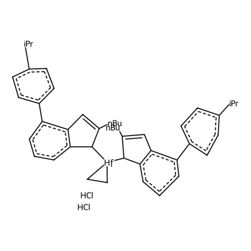 CCCCC1=Cc2c(-c3ccc(C(C)C)cc3)cccc2[CH]1[Hf]1([CH]2C(CCCC)=Cc3c(-c4ccc(C(C)C)cc4)cccc32)[CH2][CH2]1.Cl.Cl